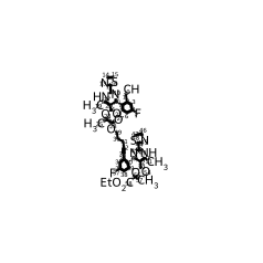 C#Cc1cc(F)ccc1[C@@H]1N=C(c2nccs2)NC(C)=C1C(=O)O[C@H](C)C(=O)OCCCC#Cc1cc(F)ccc1[C@@H]1N=C(c2nccs2)NC(C)=C1C(=O)O[C@H](C)C(=O)OCC